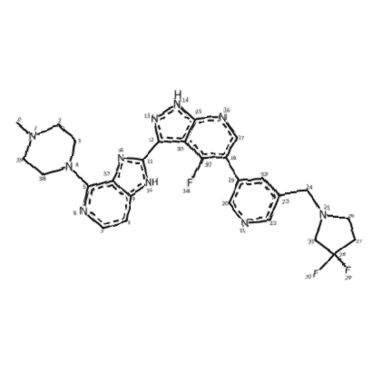 CN1CCN(c2nccc3[nH]c(-c4n[nH]c5ncc(-c6cncc(CN7CCC(F)(F)C7)c6)c(F)c45)nc23)CC1